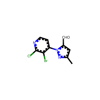 Cc1cc(C=O)n(-c2ccnc(Cl)c2Br)n1